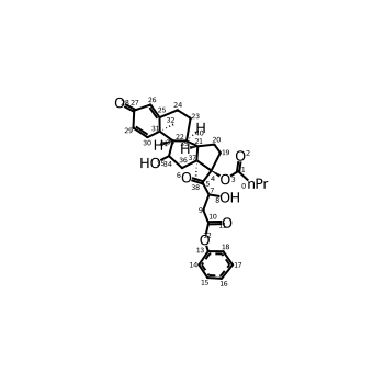 CCCC(=O)O[C@]1(C(=O)C(O)CC(=O)Oc2ccccc2)CC[C@H]2[C@@H]3CCC4=CC(=O)C=C[C@]4(C)[C@H]3C(O)C[C@@]21C